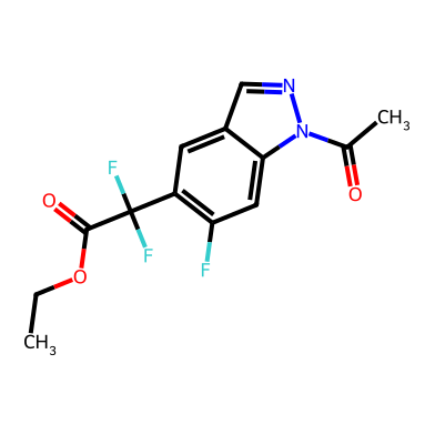 CCOC(=O)C(F)(F)c1cc2cnn(C(C)=O)c2cc1F